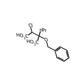 CCCC(OCc1ccccc1)(C(=O)O)C(Cl)C(=O)O